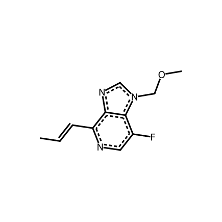 CC=Cc1ncc(F)c2c1ncn2COC